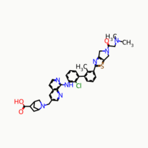 Cc1c(-c2nc3c(s2)CN(C(=O)CN(C)C)C3)cccc1-c1cccc(Nc2nccc3cc(CN4CC5CC4CC5C(=O)O)cnc23)c1Cl